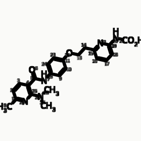 Cc1ccc(C(=O)Nc2ccc(OCCc3cccc(NC(=O)O)n3)cc2)c(N(C)C)n1